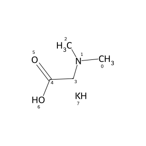 CN(C)CC(=O)O.[KH]